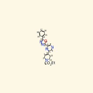 CCOC(=O)N1CC=C(c2cncc(-c3nnc(-c4ccccc4)o3)n2)CC1